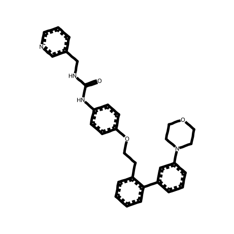 O=C(NCc1cccnc1)Nc1ccc(OCCc2ccccc2-c2cccc(N3CCOCC3)c2)cc1